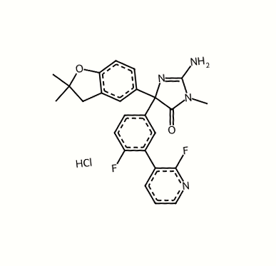 CN1C(=O)C(c2ccc3c(c2)CC(C)(C)O3)(c2ccc(F)c(-c3cccnc3F)c2)N=C1N.Cl